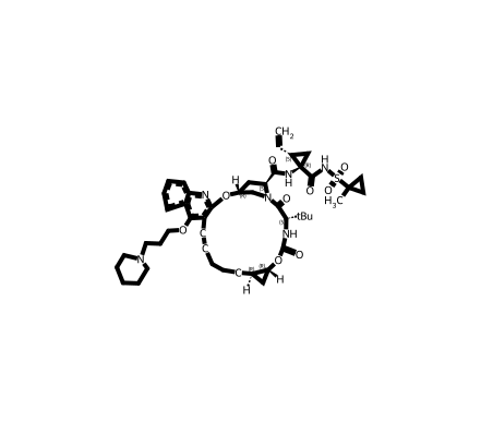 C=C[C@@H]1C[C@]1(NC(=O)[C@@H]1C[C@@H]2CN1C(=O)[C@H](C(C)(C)C)NC(=O)O[C@@H]1C[C@H]1CCCCCc1c(nc3ccccc3c1OCCCN1CCCCC1)O2)C(=O)NS(=O)(=O)C1(C)CC1